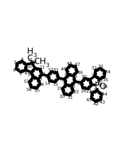 CC1(C)c2ccccc2-c2c1cc(-c1ccc(-c3c4ccccc4c(-c4ccc5c(c4)-c4ccccc4P5(=O)c4ccccc4)c4ccccc34)cc1)c1ccccc21